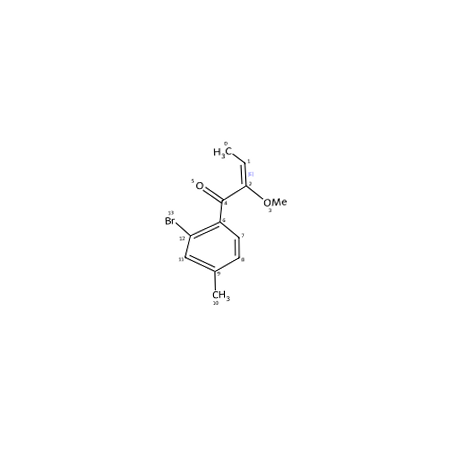 C/C=C(/OC)C(=O)c1ccc(C)cc1Br